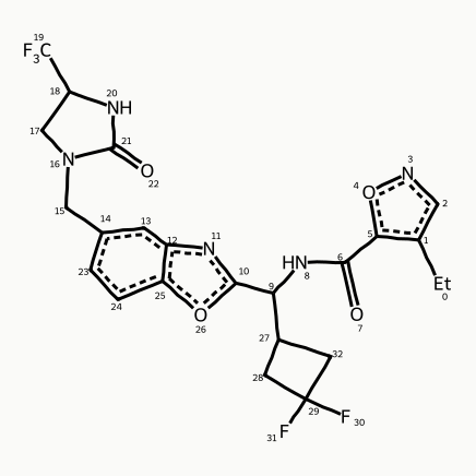 CCc1cnoc1C(=O)NC(c1nc2cc(CN3CC(C(F)(F)F)NC3=O)ccc2o1)C1CC(F)(F)C1